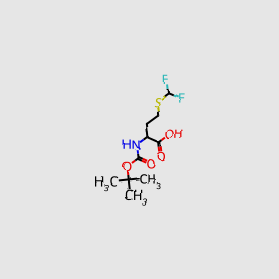 CC(C)(C)OC(=O)NC(CCSC(F)F)C(=O)O